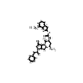 CCCC(NC(=O)Oc1cc2cccc(OC)c2o1)C(=O)N1CCC2C1C(=O)CN2C(=O)Cc1cccnc1